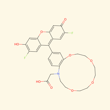 O=C(O)CN1CCOCCOCCOCCOc2cc(-c3c4cc(F)c(=O)cc-4oc4cc(O)c(F)cc34)ccc21